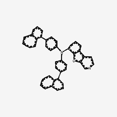 c1ccc2c(-c3ccc(N(c4ccc(-c5cccc6ccccc56)cc4)c4cccc5c4oc4cnccc45)cc3)cccc2c1